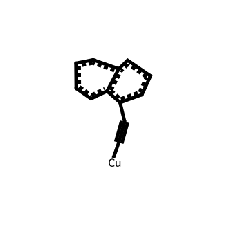 [Cu][C]#Cc1cccc2ccccc12